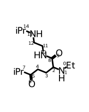 CCNC(CCC(=O)C(C)C)C(=O)NCCNC(C)C